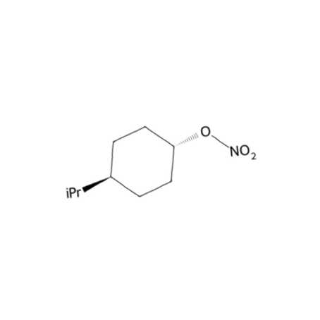 CC(C)[C@H]1CC[C@H](O[N+](=O)[O-])CC1